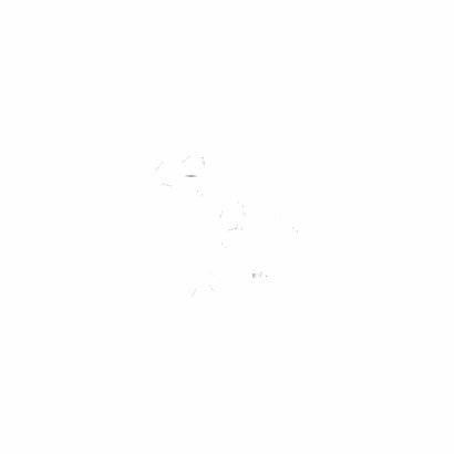 C=CC(=O)N1CCN(c2nc(OC[C@@H]3CCCN3C)nc3c2CCCN(c2cccc4c(C)cccc24)C3)CC1CC#N